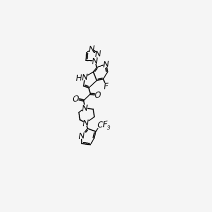 O=C(C(=O)N1CCN(c2ncccc2C(F)(F)F)CC1)c1c[nH]c2c(-n3ccnn3)ncc(F)c12